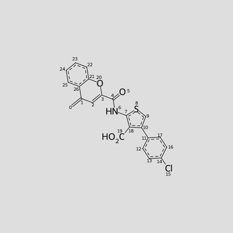 C=C1C=C(C(=O)Nc2scc(-c3ccc(Cl)cc3)c2C(=O)O)Oc2ccccc21